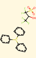 O=S(=O)([O-])C(F)(F)C(O)C(F)(F)F.c1ccc([S+](c2ccccc2)c2ccccc2)cc1